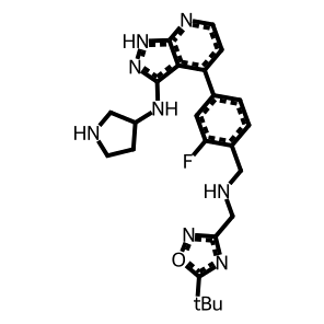 CC(C)(C)c1nc(CNCc2ccc(-c3ccnc4[nH]nc(NC5CCNC5)c34)cc2F)no1